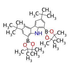 CC(C)(C)c1cc(B2OC(C)(C)C(C)(C)O2)c2[nH]c3c(B4OC(C)(C)C(C)(C)O4)cc(C(C)(C)C)cc3c2c1